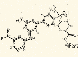 CCCCCOC(=O)[C@H]1CC[C@H](C(C)(O)c2ccc(-c3cc(C)cc(Nc4cc(C(F)F)ccn4)n3)cn2)CC1